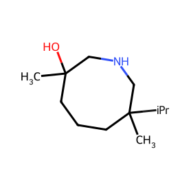 CC(C)C1(C)CCCC(C)(O)CNC1